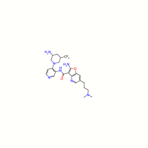 CN(C)CCCc1cnc2c(C(=O)Nc3cnccc3N3CC(N)CC(C(F)(F)F)C3)c(N)oc2c1